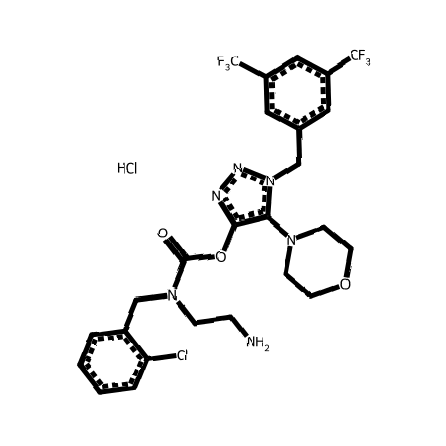 Cl.NCCN(Cc1ccccc1Cl)C(=O)Oc1nnn(Cc2cc(C(F)(F)F)cc(C(F)(F)F)c2)c1N1CCOCC1